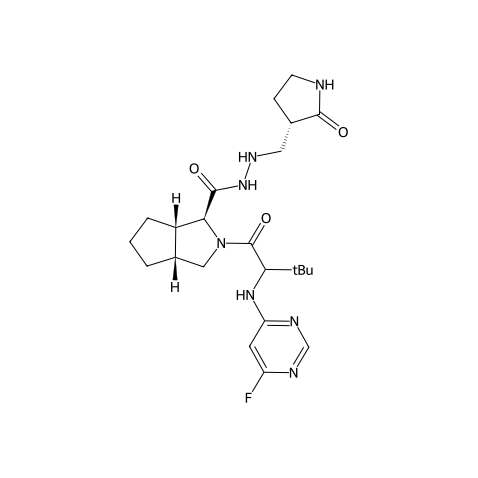 CC(C)(C)C(Nc1cc(F)ncn1)C(=O)N1C[C@@H]2CCC[C@@H]2[C@H]1C(=O)NNC[C@@H]1CCNC1=O